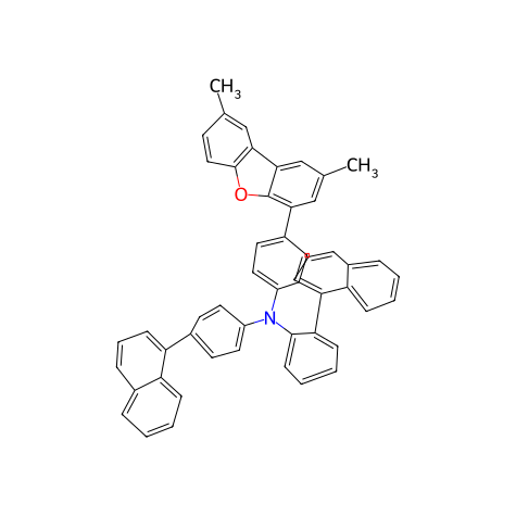 Cc1ccc2oc3c(-c4ccc(N(c5ccc(-c6cccc7ccccc67)cc5)c5ccccc5-c5cccc6ccccc56)cc4)cc(C)cc3c2c1